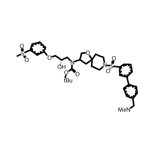 CNCc1ccc(-c2cccc(S(=O)(=O)N3CCC4(CC3)CC(N(C[C@H](O)COc3cccc(S(C)(=O)=O)c3)C(=O)OC(C)(C)C)CO4)c2)cc1